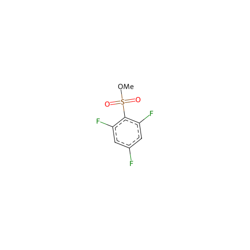 [CH2]OS(=O)(=O)c1c(F)cc(F)cc1F